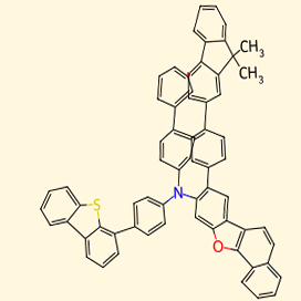 CC1(C)c2ccccc2-c2ccc(-c3ccc(-c4cc5c(cc4N(c4ccc(-c6ccccc6)cc4)c4ccc(-c6cccc7c6sc6ccccc67)cc4)oc4c6ccccc6ccc54)cc3)cc21